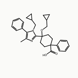 Cc1nc(C2(OCC3CC3)CCC(C(=O)O)(c3ccccc3)CC2)n(CC2CC2)c1-c1ccccc1